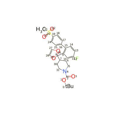 CC(C)(C)OC(=O)N1CCC(C2(c3cc(F)ccc3-c3ccc(S(C)(=O)=O)cc3)OC=CO2)CC1